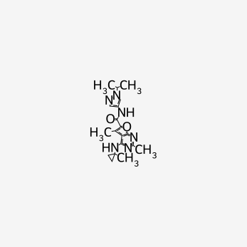 Cc1nc(NC2(C)CC2)c2c(C)c(C(=O)Nc3cnn(C(C)C)c3)oc2n1